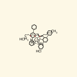 CCCCCCC1=Cc2c(-c3ccccc3)ccc(-c3ccccc3)c2[CH]1[Zr]([CH3])([CH3])(=[SiH2])[CH]1C(CCCCCC)=Cc2c(-c3ccccc3)ccc(-c3ccccc3)c21.Cl.Cl